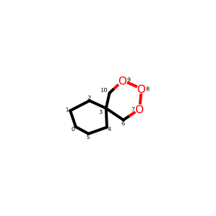 C1CCC2(CC1)COOOC2